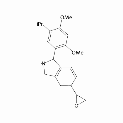 COc1cc(OC)c(C2[N]Cc3cc(C4CO4)ccc32)cc1C(C)C